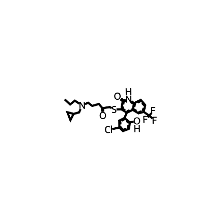 CCCN(CCCC(=O)CSc1c(-c2cc(Cl)ccc2O)c2cc(C(F)(F)F)ccc2[nH]c1=O)CC1CC1